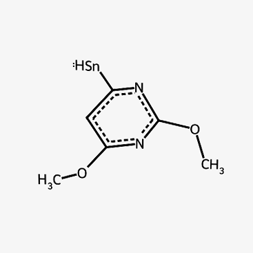 COc1c[c]([SnH])nc(OC)n1